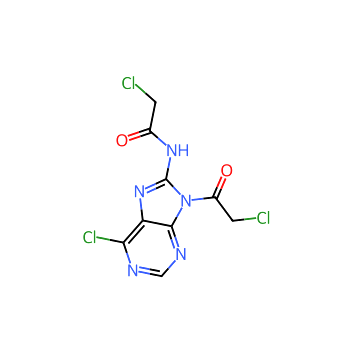 O=C(CCl)Nc1nc2c(Cl)ncnc2n1C(=O)CCl